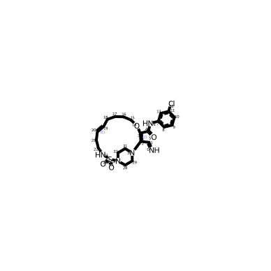 N=C/C1=C(\C(=O)Nc2cccc(Cl)c2)OCCCC/C=C/CCNS(=O)(=O)N2CCN1CC2